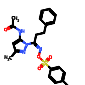 CC(=O)Nc1cc(C)nn1C(CCc1ccccc1)=NOS(=O)(=O)c1ccc(C)cc1